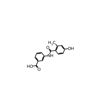 Cc1cc(O)ccc1C(=O)Nc1cccc(C(=O)O)c1